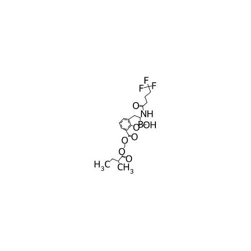 CCC(C)C(=O)OCOC(=O)c1cccc2c1OB(O)[C@@H](NC(=O)CCCC(F)(F)F)C2